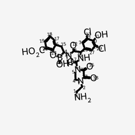 NCCN1CCN(C(=O)N[C@@H](C(=O)N[C@H]2Cc3cccc(C(=O)O)c3OB2O)c2cc(Cl)c(O)c(Cl)c2)C(=O)C1=O